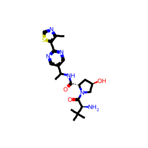 Cc1ncsc1-c1ncc(C(C)NC(=O)[C@@H]2C[C@@H](O)CN2C(=O)[C@@H](N)C(C)(C)C)cn1